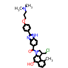 Cc1cccc2c(O)cc3c(c12)C(CCl)CN3C(=O)c1ccc2[nH]c(-c3ccc(OCCCN(C)C)cc3)nc2c1